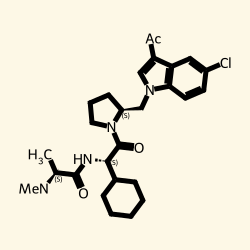 CN[C@@H](C)C(=O)N[C@H](C(=O)N1CCC[C@H]1Cn1cc(C(C)=O)c2cc(Cl)ccc21)C1CCCCC1